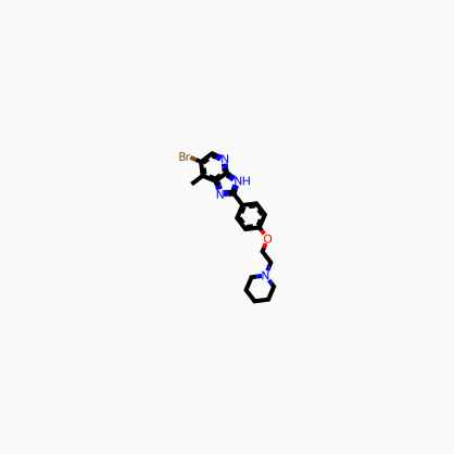 Cc1c(Br)cnc2[nH]c(-c3ccc(OCCN4CCCCC4)cc3)nc12